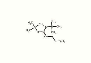 CCCN[SiH](O[Si](C)(C)C)O[Si](C)(C)C